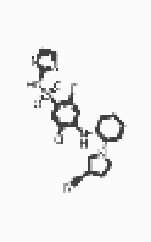 N#CC1CCN([C@H]2CCCC[C@@H]2Nc2cc(F)c(S(=O)(=O)Nc3nccs3)cc2Cl)C1